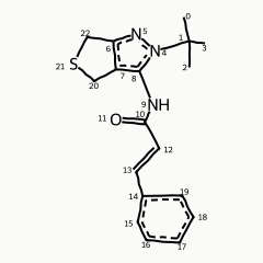 CC(C)(C)n1nc2c(c1NC(=O)/C=C/c1ccccc1)CSC2